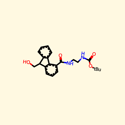 CC(C)(C)OC(=O)NCCNC(=O)c1cccc2c1-c1ccccc1C2CO